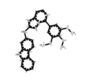 COc1cc(-c2nccc3nc(Nc4ccc5c(c4)[nH]c4ccccc45)nn23)cc(OC)c1OC